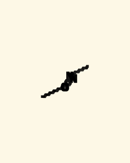 CCCCCCCCCCCOc1ccc(-c2ncc(CCCCCCC)cn2)cc1